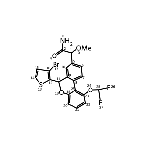 COC(C(N)=O)c1ccc2c(c1)C(c1sccc1Br)Oc1cccc(OC(F)F)c1-2